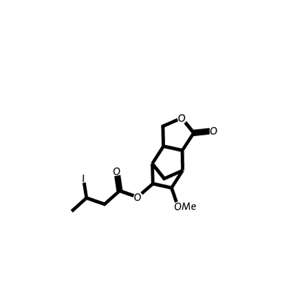 COC1C2CC(C3COC(=O)C32)C1OC(=O)CC(C)I